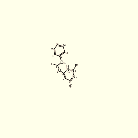 CC(OC1=CC(F)=NN(F)N1)Oc1ccccc1